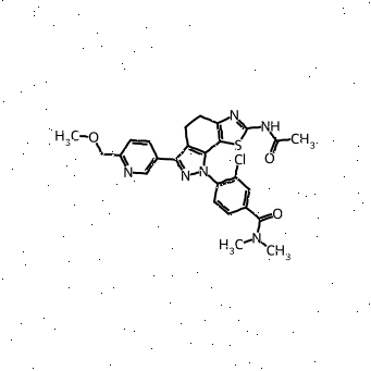 COCc1ccc(-c2nn(-c3ccc(C(=O)N(C)C)cc3Cl)c3c2CCc2nc(NC(C)=O)sc2-3)cn1